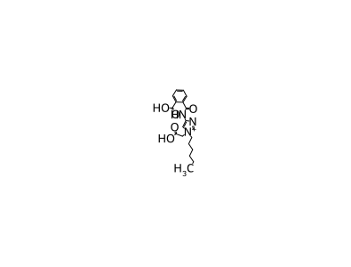 CCCCCC[N+]1(CC(=O)O)C=NC(NC(=O)c2ccccc2C(=O)O)=C1